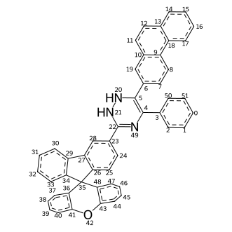 c1ccc(C2=C(c3ccc4c(ccc5ccccc54)c3)NNC(c3ccc4c(c3)-c3ccccc3C43c4ccccc4Oc4ccccc43)=N2)cc1